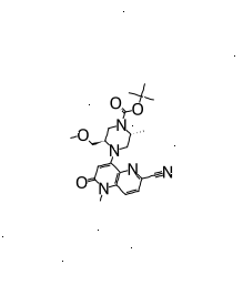 COC[C@H]1CN(C(=O)OC(C)(C)C)[C@H](C)CN1c1cc(=O)n(C)c2ccc(C#N)nc12